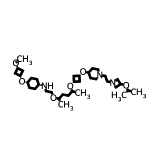 CO[C@H]1C[C@H](O[C@H]2CC[C@H](NCCOC(C)CCC(C)O[C@H]3C[C@H](OC4CCN(CCN5CC(OC(C)C)C5)CC4)C3)CC2)C1